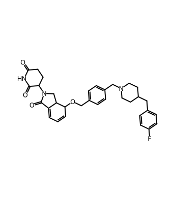 O=C1CCC(N2CC3C(=CC=CC3OCc3ccc(CN4CCC(Cc5ccc(F)cc5)CC4)cc3)C2=O)C(=O)N1